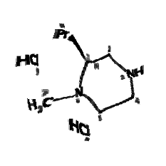 CC(C)[C@H]1CNCCN1C.Cl.Cl